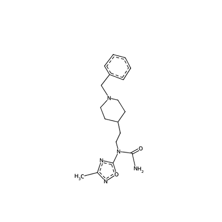 Cc1noc(N(CCC2CCN(Cc3ccccc3)CC2)C(N)=O)n1